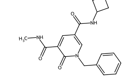 CNC(=O)c1cc(C(=O)NC2CCC2)cn(Cc2ccccc2)c1=O